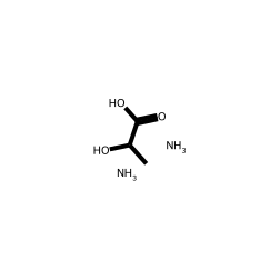 CC(O)C(=O)O.N.N